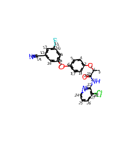 CC(Oc1ccc(Oc2cc(F)cc(C#N)c2)cc1)C(=O)Nc1ncccc1Cl